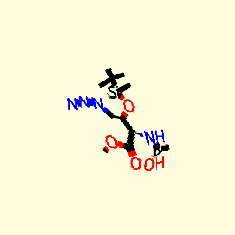 COC(=O)[C@@H](NB(C)O)[C@@H](CN=[N+]=[N-])O[Si](C)(C)C(C)(C)C